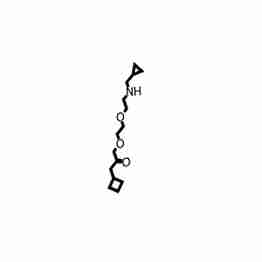 O=C(COCCOCCNCC1CC1)CC1CCC1